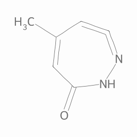 CC1=CC(=O)NN=C=C1